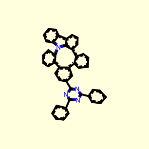 c1ccc(-c2nc(-c3ccccc3)nc(-c3ccc4c(c3)c3ccccc3c3cccc5c6ccccc6n(c6ccccc46)c35)n2)cc1